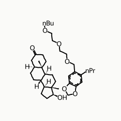 CCCCOCCOCCOCc1cc2c(cc1CCC)OCO2.C[C@]12CCC(=O)C[C@@H]1CC[C@@H]1[C@@H]2CC[C@]2(C)[C@@H](O)CC[C@@H]12